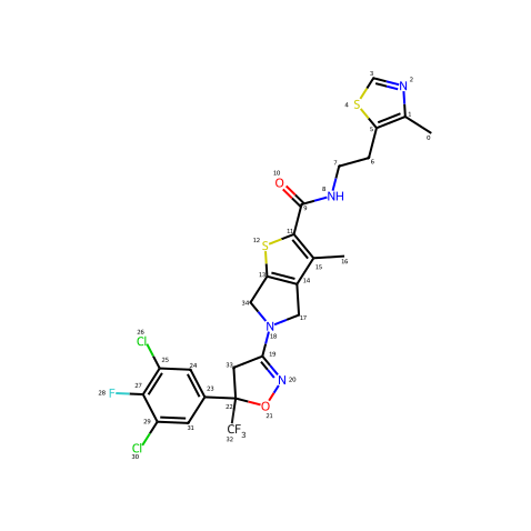 Cc1ncsc1CCNC(=O)c1sc2c(c1C)CN(C1=NOC(c3cc(Cl)c(F)c(Cl)c3)(C(F)(F)F)C1)C2